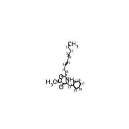 CCCC#CC#CCCC(=O)NC(Cc1ccccc1)C(=O)OC